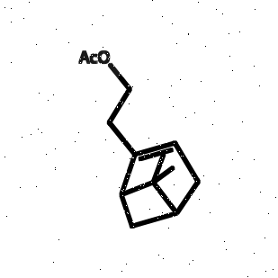 CC(=O)OCCC1=CCC2CC1C2(C)C